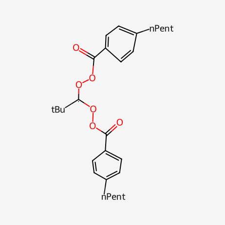 [CH2]C(C)(C)[C](OOC(=O)c1ccc(CCCCC)cc1)OOC(=O)c1ccc(CCCCC)cc1